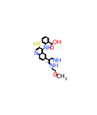 COCCN/C=C(\C=N)c1ccc2ncc(S)c(Nc3ccccc3C(=O)O)c2c1